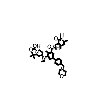 CCN(c1cc(-c2ccc(CN3CCOCC3)cc2)cc(C(=O)NCc2c(C)cc(C)[nH]c2=O)c1C)C1CCN(C(=O)O)C(C(C)(C)C)C1